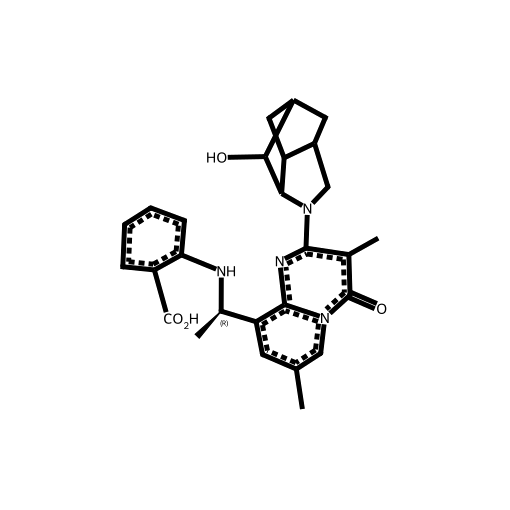 Cc1cc([C@@H](C)Nc2ccccc2C(=O)O)c2nc(N3CC4CC5CC4C3C5O)c(C)c(=O)n2c1